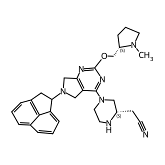 CN1CCC[C@H]1COc1nc2c(c(N3CCN[C@@H](CC#N)C3)n1)CN(C1Cc3cccc4cccc1c34)C2